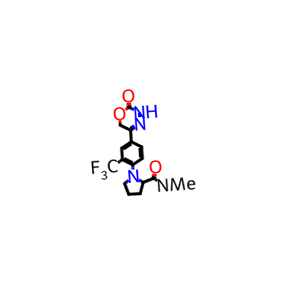 CNC(=O)C1CCCN1c1ccc(C2=NNC(=O)OC2)cc1C(F)(F)F